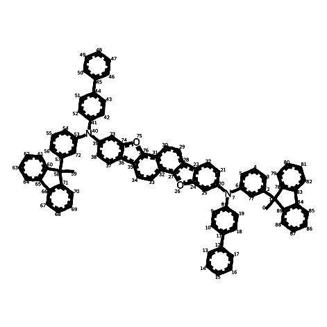 CC1(c2cccc(N(c3ccc(-c4ccccc4)cc3)c3ccc4c(c3)oc3c4ccc4c3ccc3c5ccc(N(c6ccc(-c7ccccc7)cc6)c6cccc(C7(C)c8ccccc8-c8ccccc87)c6)cc5oc34)c2)c2ccccc2-c2ccccc21